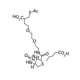 CC(=O)SC[C@@H](CCOCCOCCNC(=O)[C@@]1(CCCCC(=O)O)SC[C@@H]2NC(=O)N[C@@H]21)C(=O)O